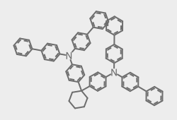 c1ccc(-c2ccc(N(c3ccc(-c4ccccc4)cc3)c3ccc(C4(c5ccc(N(c6ccc(-c7ccccc7)cc6)c6ccc(-c7ccccc7)cc6)cc5)CCCCC4)cc3)cc2)cc1